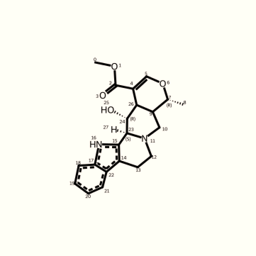 COC(=O)C1=CO[C@H](C)C2CN3CCc4c([nH]c5ccccc45)[C@H]3[C@H](O)C12